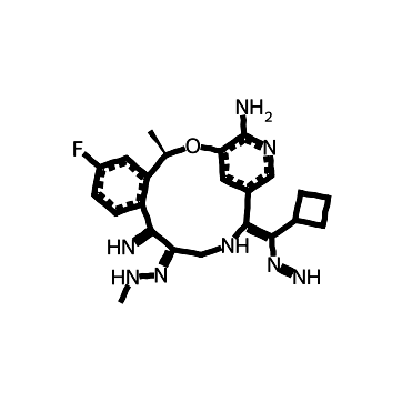 CN/N=C1/CN/C(=C(\N=N)C2CCC2)c2cnc(N)c(c2)O[C@H](C)c2cc(F)ccc2C1=N